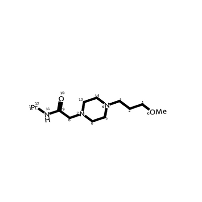 COCCCN1CCN(CC(=O)NC(C)C)CC1